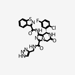 O=C1Cn2c(C(=O)NCc3c[nH]nn3)nc(NC(=O)c3nsc4ccccc34)c2[C@H](c2cc(F)ccc2Cl)N1